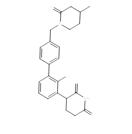 CC1CCN(Cc2ccc(-c3cccc(C4CCC(=O)NC4=O)c3Cl)cc2)C(=O)C1